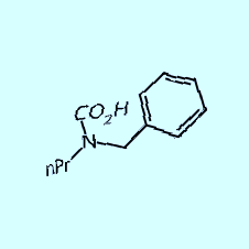 CCCN(Cc1ccccc1)C(=O)O